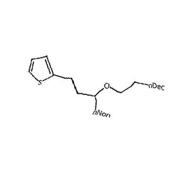 CCCCCCCCCCCCOC(CCCCCCCCC)CCc1cccs1